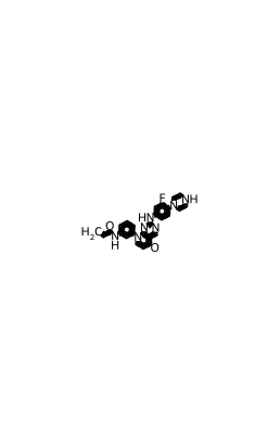 C=CC(=O)Nc1cccc(-n2ccc(=O)c3cnc(Nc4ccc(N5CCNCC5)c(F)c4)nc32)c1